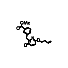 C=CCCOc1ccc(=O)n(Cc2cccc(C(=O)OC)c2)n1